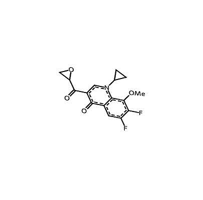 COc1c(F)c(F)cc2c(=O)c(C(=O)C3CO3)cn(C3CC3)c12